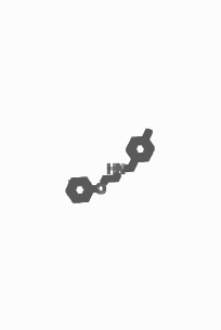 Cc1ccc(CNCCOc2c[c]ccc2)cc1